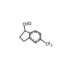 O=CC1CCc2cc(C(F)(F)F)ccc21